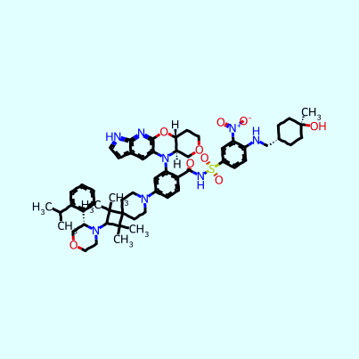 CC(C)c1ccccc1[C@H]1COCCN1C1C(C)(C)C2(CCN(c3ccc(C(=O)NS(=O)(=O)c4ccc(NC[C@H]5CC[C@](C)(O)CC5)c([N+](=O)[O-])c4)c(N4c5cc6cc[nH]c6nc5O[C@@H]5CCOC[C@H]54)c3)CC2)C1(C)C